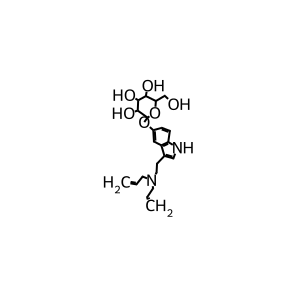 C=CCN(CC=C)CCc1c[nH]c2ccc(OC3OC(CO)C(O)C(O)C3O)cc12